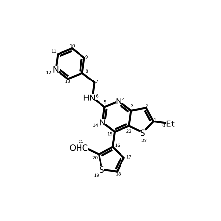 CCc1cc2nc(NCc3cccnc3)nc(-c3ccsc3C=O)c2s1